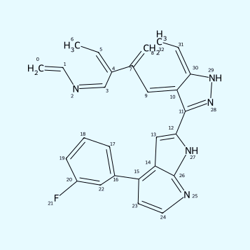 C=C/N=C\C(=C/C)C(=C)/C=c1/c(-c2cc3c(-c4cccc(F)c4)ccnc3[nH]2)n[nH]/c1=C/C